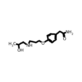 CC(O)CNCCCOc1ccc(CC(N)=O)cc1